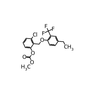 CCc1ccc(OCc2c(Cl)cccc2OC(=O)OC)c(C(F)(F)F)c1